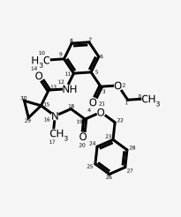 CCOC(=O)c1cccc(C)c1NC(=O)C1(N(C)CC(=O)OCc2ccccc2)CC1